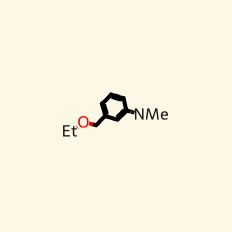 CCOCc1cccc(NC)c1